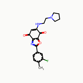 Cc1ccc(-c2nc3c(o2)C(=O)C(NCCN2CCCC2)=CC3=O)cc1F